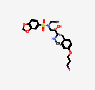 CC(C)CN(C[C@H](O)[C@H](Cc1ccc(OCCCI)cc1)NC(=O)O)S(=O)(=O)c1ccc2c(c1)OCO2